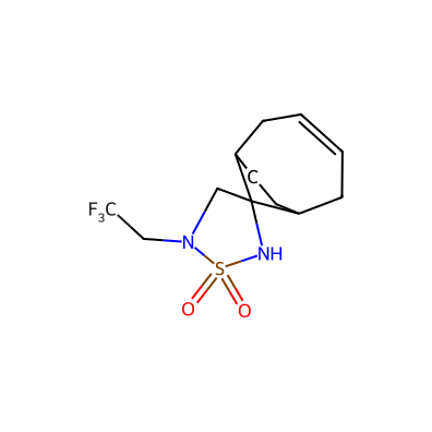 O=S1(=O)NC2(CN1CC(F)(F)F)C1CC=CCC2CC1